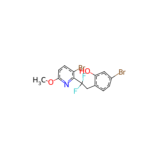 COc1ccc(Br)c(C(F)(F)Cc2ccc(Br)cc2O)n1